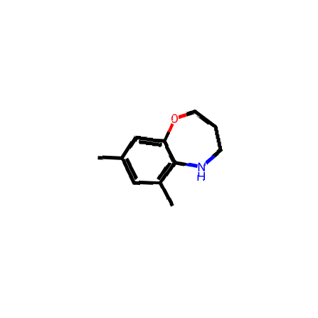 Cc1cc(C)c2c(c1)OCCCN2